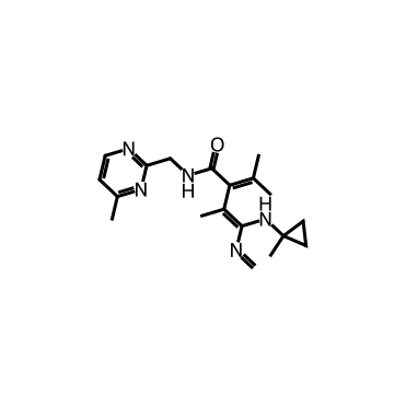 C=N/C(NC1(C)CC1)=C(\C)C(C(=O)NCc1nccc(C)n1)=C(C)C